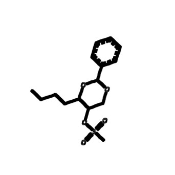 CCCCC1OC(c2ccccc2)OCC1OS(C)(=O)=O